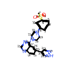 CS(=O)(=O)c1cccc(N2CCN(c3ncnc4ccc(-c5cn[nH]c5)cc34)CC2)c1